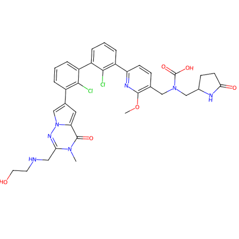 COc1nc(-c2cccc(-c3cccc(-c4cc5c(=O)n(C)c(CNCCO)nn5c4)c3Cl)c2Cl)ccc1CN(CC1CCC(=O)N1)C(=O)O